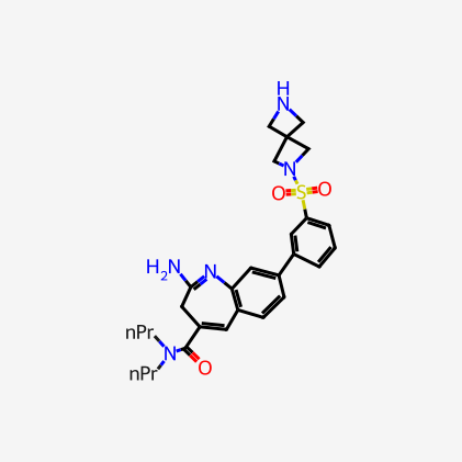 CCCN(CCC)C(=O)C1=Cc2ccc(-c3cccc(S(=O)(=O)N4CC5(CNC5)C4)c3)cc2N=C(N)C1